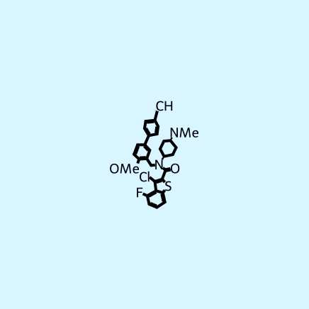 C#Cc1ccc(-c2ccc(OC)c(CN(C(=O)c3sc4cccc(F)c4c3Cl)[C@H]3CC[C@@H](NC)CC3)c2)cc1